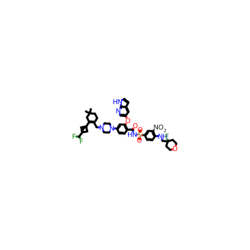 CC1(C)CCC(CN2CCN(c3ccc(C(=O)NS(=O)(=O)c4ccc(NCC5(F)CCOCC5)c([N+](=O)[O-])c4)c(Oc4cnc5[nH]ccc5c4)c3)CC2)=C(C23CC(C(F)F)(C2)C3)C1